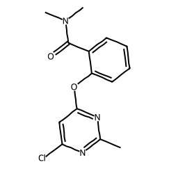 Cc1nc(Cl)cc(Oc2ccccc2C(=O)N(C)C)n1